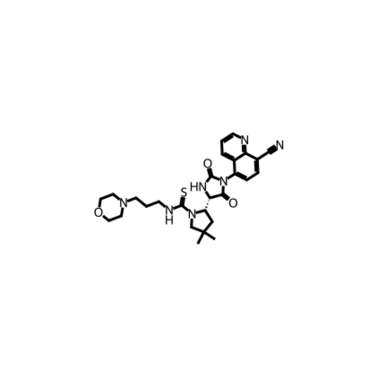 CC1(C)CC([C@@H]2NC(=O)N(c3ccc(C#N)c4ncccc34)C2=O)N(C(=S)NCCCN2CCOCC2)C1